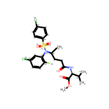 COC(=O)[C@@H](NC(=O)CCC(C)N(c1cc(Cl)ccc1F)S(=O)(=O)c1ccc(Cl)cc1)C(C)C